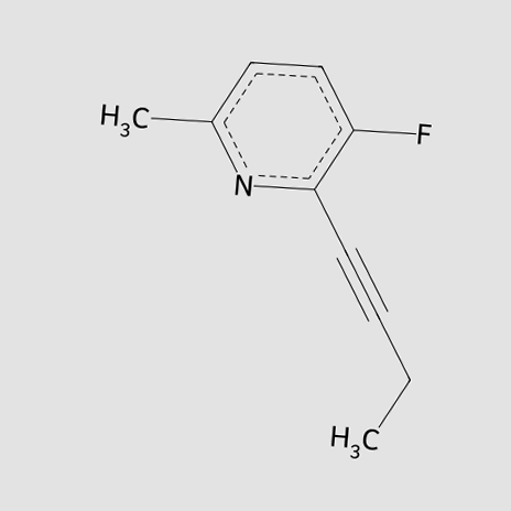 CCC#Cc1nc(C)ccc1F